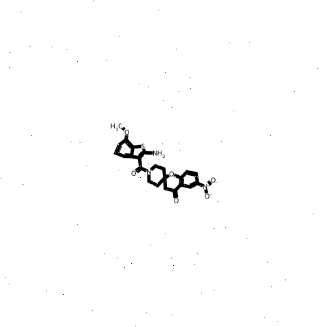 COc1cccc2c(C(=O)N3CCC4(CC3)CC(=O)c3cc([N+](=O)[O-])ccc3O4)c(N)sc12